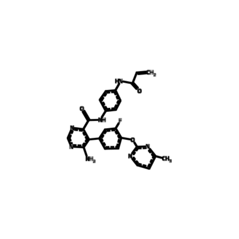 C=CC(=O)Nc1ccc(NC(=O)c2ncnc(N)c2-c2ccc(Oc3nccc(C)n3)c(F)c2)cc1